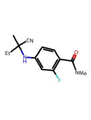 CCC(C)(C#N)Nc1ccc(C(=O)NC)c(F)c1